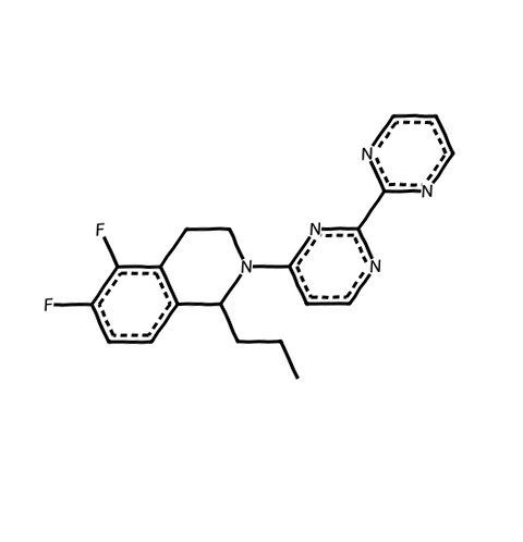 CCCC1c2ccc(F)c(F)c2CCN1c1ccnc(-c2ncccn2)n1